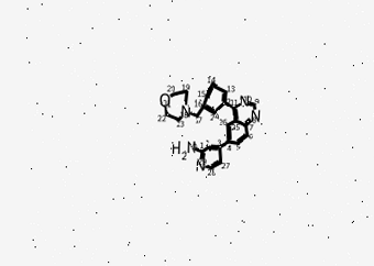 Nc1cc(-c2ccc3ncnc(-c4cccc(CN5CCOCC5)c4)c3c2)ccn1